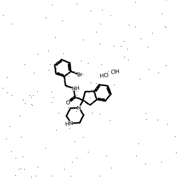 Cl.Cl.O=C(NCc1ccccc1Br)C1(N2CCNCC2)Cc2ccccc2C1